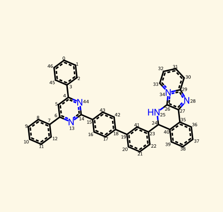 c1ccc(-c2cc(-c3ccccc3)nc(-c3ccc(-c4cccc(C5Nc6c(nc7ccccn67)-c6ccccc65)c4)cc3)n2)cc1